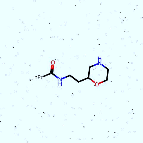 CCCC(=O)NCCC1CNCCO1